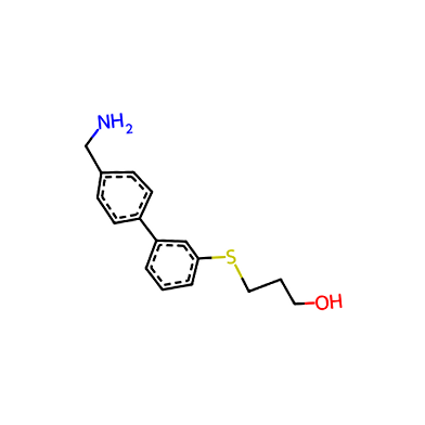 NCc1ccc(-c2cccc(SCCCO)c2)cc1